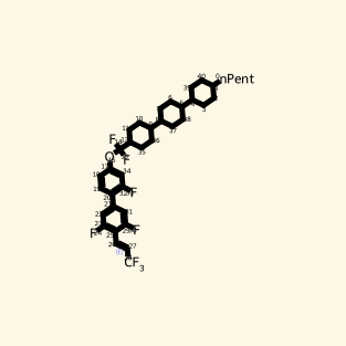 CCCCCC1CCC(C2CCC(C3CCC(C(F)(F)Oc4ccc(-c5cc(F)c(/C=C/C(F)(F)F)c(F)c5)c(F)c4)CC3)CC2)CC1